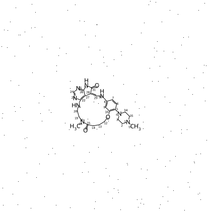 CN1CCN(c2ccc3cc2OCCCC(=O)N(C)CCNc2ncnc4c2/C(=C/N3)C(=O)N4)CC1